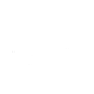 CCCCCC(=O)OC.COC(=O)C=Cc1ccccc1